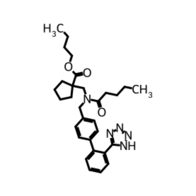 CCCCOC(=O)C1(CN(Cc2ccc(-c3ccccc3-c3nnn[nH]3)cc2)C(=O)CCCC)CCCC1